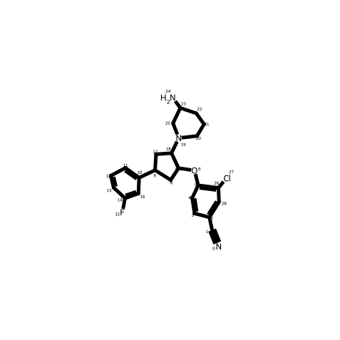 N#Cc1ccc(OC2CC(c3cccc(F)c3)CC2N2CCCC(N)C2)c(Cl)c1